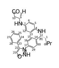 CC(C)C[C@@H](Nc1ccc(NCCC(=O)O)cc1)c1ccc(N2NOC=C2c2ccccc2)cc1